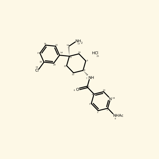 CC(=O)Nc1ccc(C(=O)N[C@H]2CC[C@](CN)(c3cccc(Cl)c3)CC2)cn1.Cl